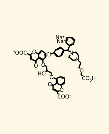 O=C(O)COCCN1CCN(C(c2ccccc2)c2ccc(Cl)cc2)CC1.O=C([O-])c1cc(=O)c2c(OCC(O)COc3cccc4oc(C(=O)[O-])cc(=O)c34)cccc2o1.[Na+].[Na+]